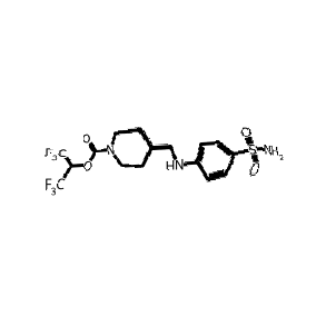 NS(=O)(=O)c1ccc(NCC2CCN(C(=O)OC(C(F)(F)F)C(F)(F)F)CC2)cc1